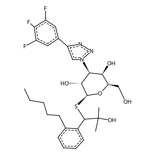 CCCCCc1ccccc1C(S[C@@H]1O[C@H](CO)[C@H](O)[C@H](n2cc(-c3cc(F)c(F)c(F)c3)nn2)[C@H]1O)C(C)(C)O